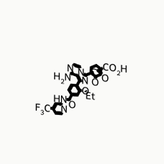 CCOc1cc(C(=O)Nc2cc(C(F)(F)F)ccn2)ccc1-c1nc(C23CCC(C(=O)O)(CC2=O)C(=O)C3)n2ccnc(N)c12